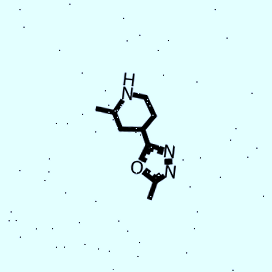 Cc1nnc(C2CCNC(C)C2)o1